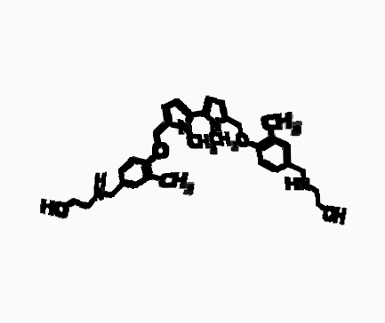 Cc1cc(CNCCO)ccc1OCc1ccc(-c2ccc(COc3ccc(CNCCO)cc3C)n2C)n1C